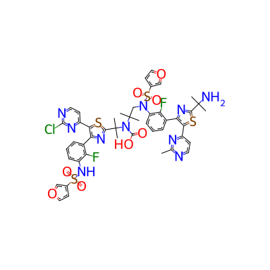 Cc1nccc(-c2sc(C(C)(C)N)nc2-c2cccc(N(CC(C)(C)N(C(=O)O)C(C)(C)c3nc(-c4cccc(NS(=O)(=O)c5ccoc5)c4F)c(-c4ccnc(Cl)n4)s3)S(=O)(=O)c3ccoc3)c2F)n1